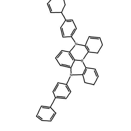 C1=CCC(c2ccc(N3C4=C(CCC=C4)B4C5=C(CCC=C5)N(c5ccc(-c6ccccc6)cc5)c5cccc3c54)cc2)C=C1